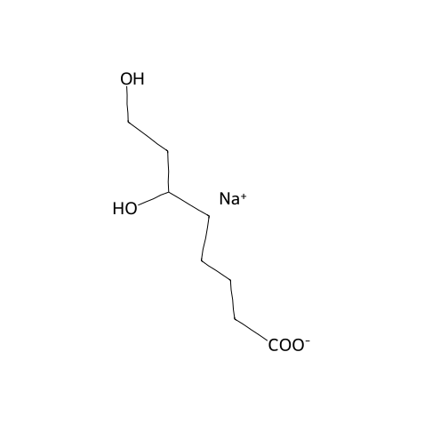 O=C([O-])CCCCC(O)CCO.[Na+]